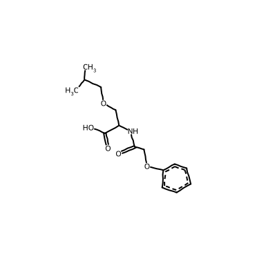 CC(C)COCC(NC(=O)COc1ccccc1)C(=O)O